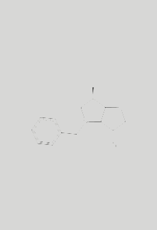 O[C@H]1CO[C@H]2C1N(Cc1ccccc1)C[C@H]2F